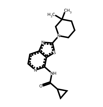 CC1(C)CCCN(c2nc3ccnc(NC(=O)C4CC4)c3s2)C1